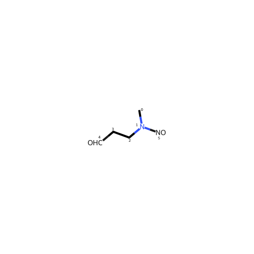 CN(CCC=O)N=O